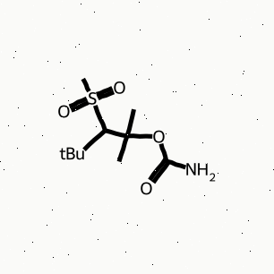 CC(C)(C)C(C(C)(C)OC(N)=O)S(C)(=O)=O